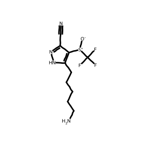 N#Cc1n[nH]c(CCCCCN)c1[S+]([O-])C(F)(F)F